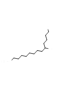 CCCCCCCCCCCCCCCCCCC(CCCCBr)C(=O)O